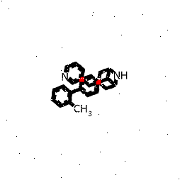 Cc1ccccc1-c1ccc(C2C3CN(Cc4cccnc4)CC2N3)cc1